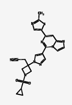 Cc1ncc(-c2cc3nccn3c(-c3cnn(C4(CC#N)CN(S(=O)(=O)C5CC5)C4)c3)n2)s1